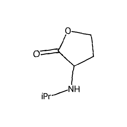 CC(C)NC1CCOC1=O